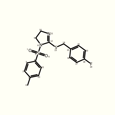 Cc1ccc(S(=O)(=O)N2CCN=C2SCc2ccc(F)cc2)cc1